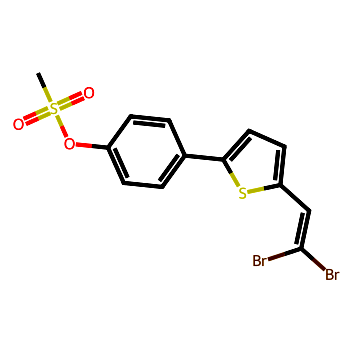 CS(=O)(=O)Oc1ccc(-c2ccc(C=C(Br)Br)s2)cc1